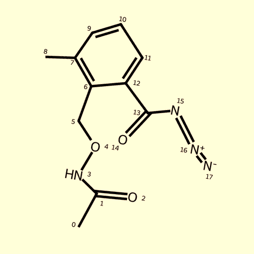 CC(=O)NOCc1c(C)cccc1C(=O)N=[N+]=[N-]